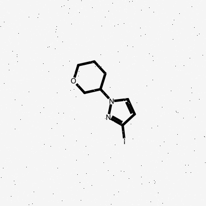 Ic1ccn(C2CCCOC2)n1